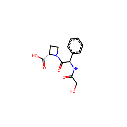 O=C(CO)N[C@@H](C(=O)N1CC[C@H]1C(=O)O)c1ccccc1